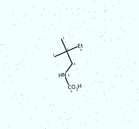 CCC(C)(C)CNC(=O)O